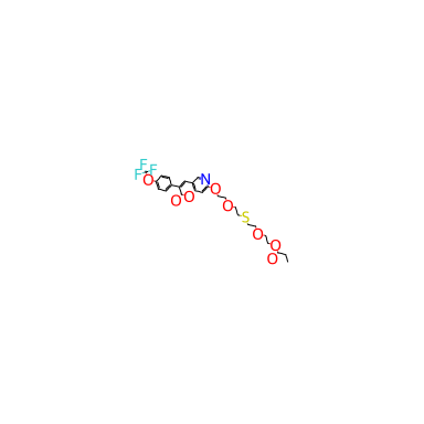 CCC(=O)OCCOCCSCCOCCOc1cc2oc(=O)c(-c3ccc(OC(F)(F)F)cc3)cc2cn1